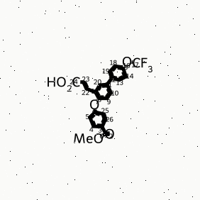 COC(=O)c1ccc(Oc2ccc(-c3ccc(OC(F)(F)F)cc3)cc2C=CC(=O)O)cc1